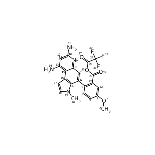 COc1ccc(-c2cc3nc(N)nc(N)c3c3ccn(C)c23)c(C(=O)OC(=O)C(F)(F)F)c1